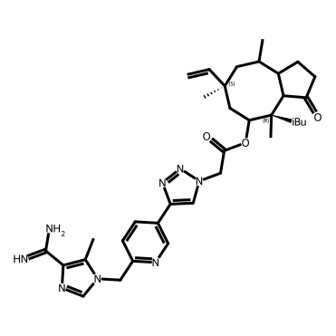 C=C[C@@]1(C)CC(C)C2CCC(=O)C2[C@@](C)(C(C)CC)C(OC(=O)Cn2cc(-c3ccc(Cn4cnc(C(=N)N)c4C)nc3)nn2)C1